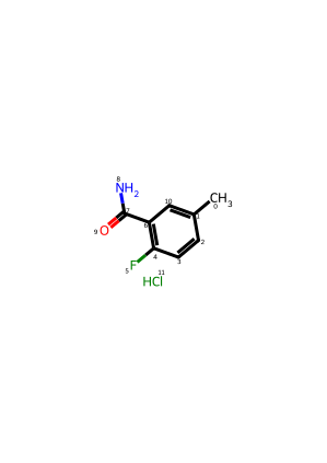 Cc1ccc(F)c(C(N)=O)c1.Cl